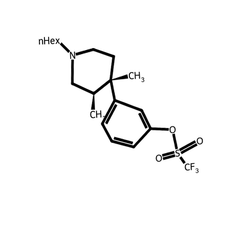 CCCCCCN1CC[C@](C)(c2cccc(OS(=O)(=O)C(F)(F)F)c2)[C@@H](C)C1